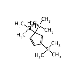 C[Si](C)(C)C1=C[C]([Si](C)(C)C)([Pt]([CH3])([CH3])[CH3])C=C1